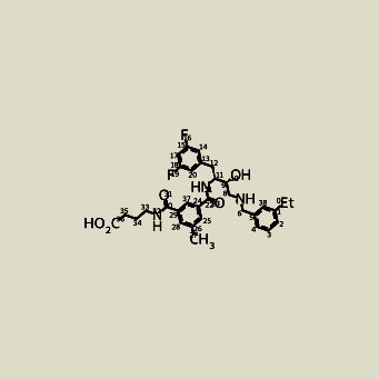 CCc1cccc(CNC[C@H](O)[C@H](Cc2cc(F)cc(F)c2)NC(=O)c2cc(C)cc(C(=O)NCCCC(=O)O)c2)c1